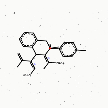 C=C(C)/C(=C\NC)C(/C(C(=C)C)=C(\C)NC)c1ccccc1CCc1ccc(C)cc1